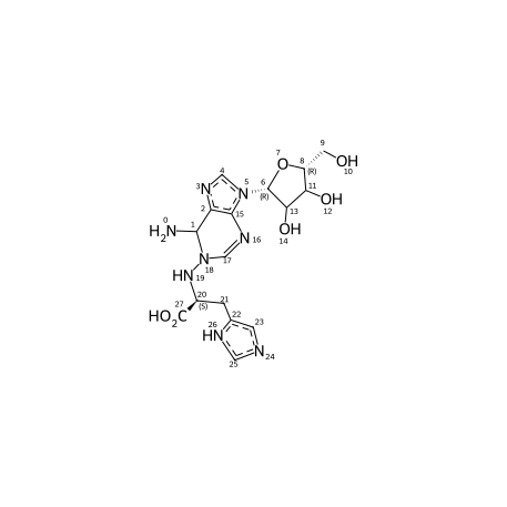 NC1c2ncn([C@@H]3O[C@H](CO)C(O)C3O)c2N=CN1N[C@@H](Cc1cnc[nH]1)C(=O)O